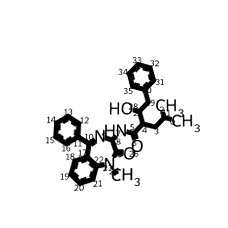 CC(C)CC(C(=O)NC1N=C(c2ccccc2)c2ccccc2N(C)C1=O)C(O)Cc1ccccc1